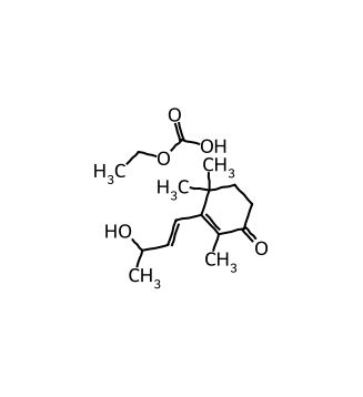 CC1=C(C=CC(C)O)C(C)(C)CCC1=O.CCOC(=O)O